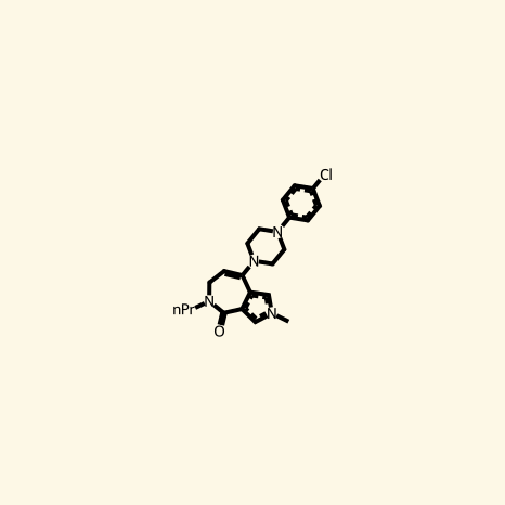 CCCN1CC=C(N2CCN(c3ccc(Cl)cc3)CC2)c2cn(C)cc2C1=O